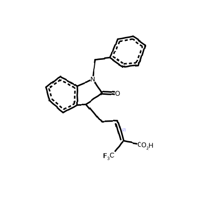 O=C(O)/C(=C/CC1C(=O)N(Cc2ccccc2)c2ccccc21)C(F)(F)F